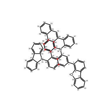 c1cc(-c2cccc3c2oc2ccccc23)cc(N(c2ccccc2-c2ccccc2-n2c3ccccc3c3ccccc32)c2ccccc2-c2cc3ccccc3c3ccccc23)c1